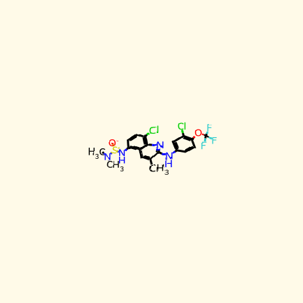 Cc1cc2c(N[S+]([O-])N(C)C)ccc(Cl)c2nc1Nc1ccc(OC(F)(F)F)c(Cl)c1